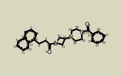 O=C(CCc1cccc2ccccc12)N1CC(N2CCN(C(=O)c3ccccc3)CC2)C1